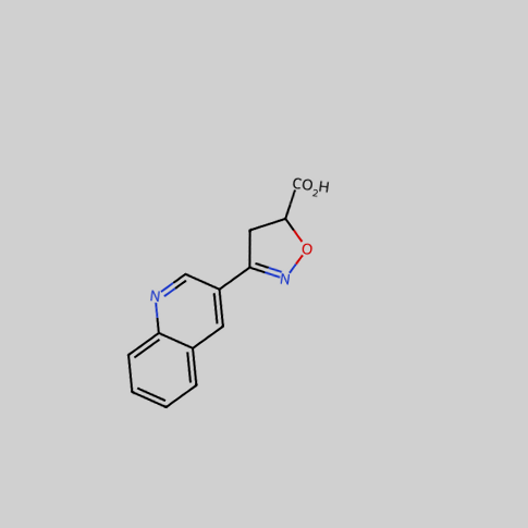 O=C(O)C1CC(c2cnc3ccccc3c2)=NO1